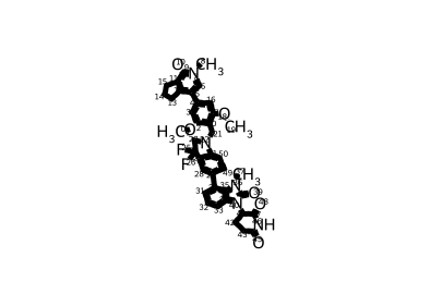 COc1cc(-c2cn(C)c(=O)c3c2CCC3)cc(OC)c1CN1CC(F)(F)c2cc(-c3cccc4c3n(C)c(=O)n4C3CCC(=O)NC3=O)ccc21